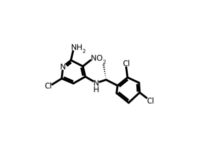 C[C@@H](Nc1cc(Cl)nc(N)c1[N+](=O)[O-])c1ccc(Cl)cc1Cl